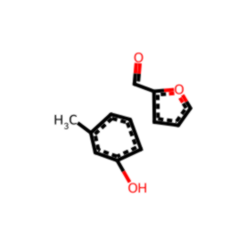 Cc1cccc(O)c1.O=Cc1ccco1